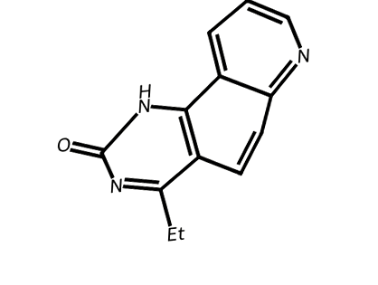 CCc1nc(=O)[nH]c2c1ccc1ncccc12